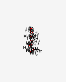 CO[C@@H]1[C@@H](OC(N)=O)[C@@H](O)[C@H](Oc2ccc3c(O)c(NC(=O)c4cc(CCO[C@@H]5[C@@H](OC(N)=O)[C@@H](O)[C@H](Oc6ccc7c(O)c(NC(=O)C8CC8)c(=O)oc7c6C)OC5(C)C)oc4C)c(=O)oc3c2C)OC1(C)C